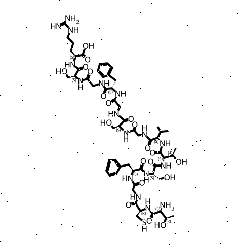 CC(C)[C@H](NC(=O)[C@@H](NC(=O)[C@H](CO)NC(=O)[C@H](Cc1ccccc1)NC(=O)CNC(=O)[C@H](CS)NC(=O)[C@@H](N)[C@@H](C)O)[C@@H](C)O)C(=O)NCC(=O)N[C@@H](CO)C(=O)NCC(=O)N[C@@H](Cc1ccccc1)C(=O)NCC(=O)N[C@@H](CO)C(=O)N[C@@H](CCCNC(=N)N)C(=O)O